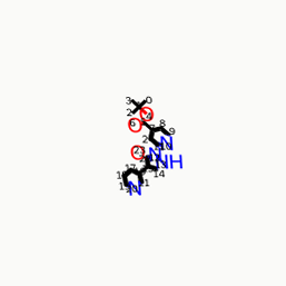 CC(C)(C)OC(=O)c1ccnc(-n2[nH]cc(-c3cccnc3)c2=O)c1